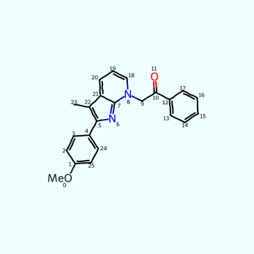 COc1ccc(-c2nc3n(CC(=O)c4ccccc4)cccc-3c2C)cc1